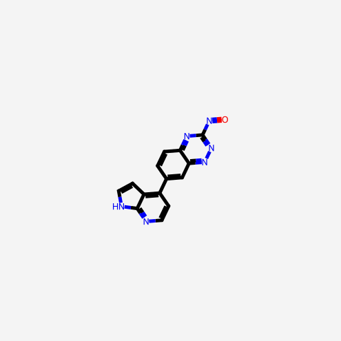 O=Nc1nnc2cc(-c3ccnc4[nH]ccc34)ccc2n1